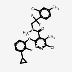 Cc1ccc(C(F)(F)CN(C)C(=O)c2c(Oc3cccc(C4CC4)c3F)nnc(Cl)c2C)c(Cl)c1